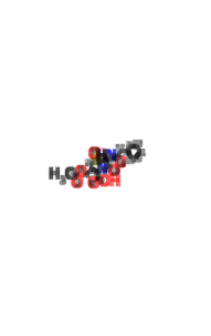 CC(=O)OCC1=C(C(=O)O)N2C(=O)[C@@H](NC(=O)Cc3ccccc3)[C@H]2[S+]([O-])C1